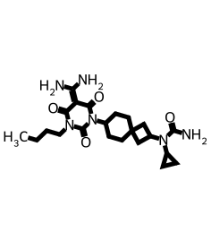 CCCCN1C(=O)C(=C(N)N)C(=O)N(C2CCC3(CC2)CC(N(C(N)=O)C2CC2)C3)C1=O